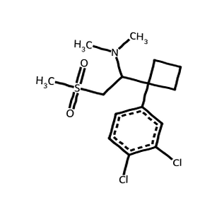 CN(C)C(CS(C)(=O)=O)C1(c2ccc(Cl)c(Cl)c2)CCC1